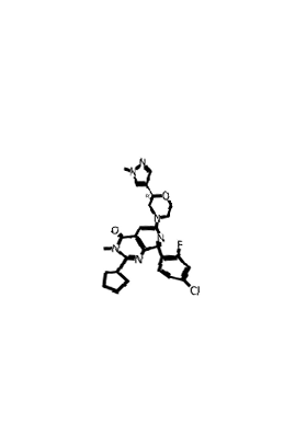 Cn1cc([C@@H]2CN(c3cc4c(=O)n(C)c(C5CCCC5)nc4c(-c4ccc(Cl)cc4F)n3)CCO2)cn1